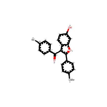 COc1ccc(-c2oc3cc(O)ccc3c2C(=O)c2ccc(C#N)cc2)cc1